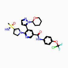 CS(=N)(=O)[C@@H]1CCN(c2ncc(C(=O)Nc3ccc(OC(F)(F)Cl)cc3)cc2-c2ccnn2C2CCCCO2)C1